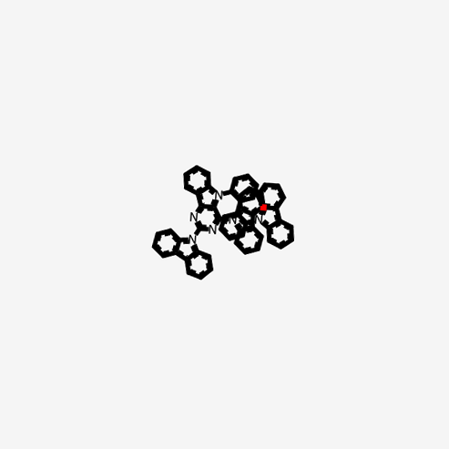 c1ccc(-n2c3ccccc3c3ccccc32)c(-c2ccccc2-n2c3ccccc3c3nc(-n4c5ccccc5c5ccccc54)nc(-n4c5ccccc5c5ccccc54)c32)c1